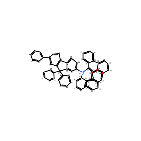 c1ccc(-c2ccc3c(c2)C(c2ccccc2)(c2ccccc2)c2cc(N(c4ccccc4-c4ccccc4)c4c(-c5ccccc5)c5ccccc5c5ccccc45)ccc2-3)cc1